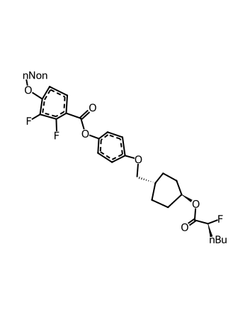 CCCCCCCCCOc1ccc(C(=O)Oc2ccc(OC[C@H]3CC[C@H](OC(=O)[C@@H](F)CCCC)CC3)cc2)c(F)c1F